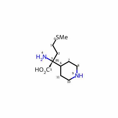 CSCC[C@](N)(C(=O)O)C1CCNCC1